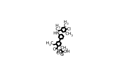 CCc1cc(-c2cccc(NC(C)c3cc(C)c(Cl)c(C)c3)c2)ccc1C(=O)N(C)C(C)C(=O)O